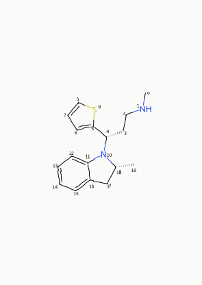 CNCC[C@@H](c1cccs1)N1c2ccccc2C[C@H]1C